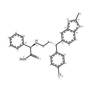 CNC(=O)[C@H](NCC[C@@H](c1ccc(C(F)(F)F)cc1)c1ccc2nc(C)sc2c1)c1ccccc1